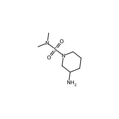 CN(C)S(=O)(=O)N1CCCC(N)C1